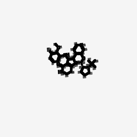 COc1c(F)cccc1Nc1c(-c2ccncc2OC[C@H]2CCCN2C(C)(C)C)[nH]c2c1C(=O)NCC2